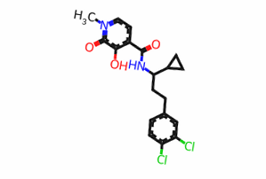 Cn1ccc(C(=O)NC(CCc2ccc(Cl)c(Cl)c2)C2CC2)c(O)c1=O